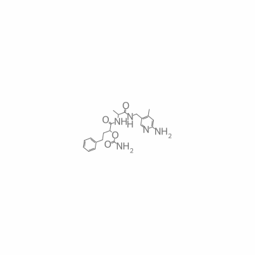 Cc1cc(N)ncc1CNC(=O)C(C)NC(=O)C(CCc1ccccc1)OC(N)=O